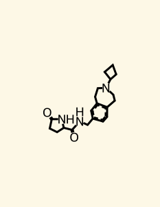 O=C1CCC(C(=O)NCc2ccc3c(c2)CCN(C2CCC2)CC3)N1